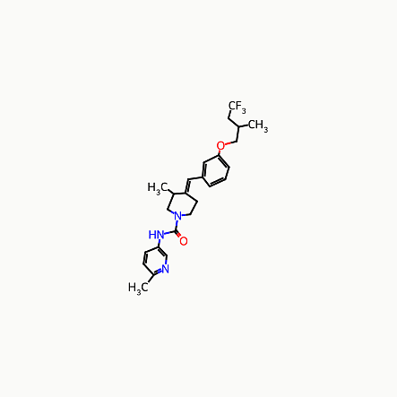 Cc1ccc(NC(=O)N2CCC(=Cc3cccc(OCC(C)CC(F)(F)F)c3)C(C)C2)cn1